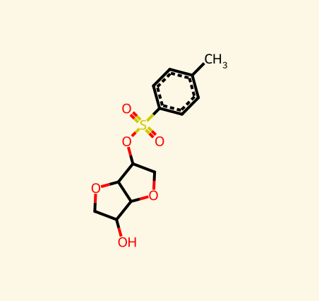 Cc1ccc(S(=O)(=O)OC2COC3C(O)COC23)cc1